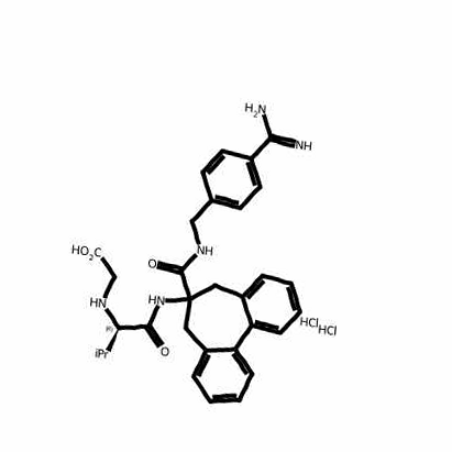 CC(C)[C@@H](NCC(=O)O)C(=O)NC1(C(=O)NCc2ccc(C(=N)N)cc2)Cc2ccccc2-c2ccccc2C1.Cl.Cl